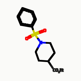 CCOC(=O)C1CCN(S(=O)(=O)c2ccccc2)CC1